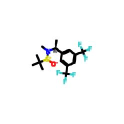 C[C@@H](c1cc(C(F)(F)F)cc(C(F)(F)F)c1)N(C)[S+]([O-])C(C)(C)C